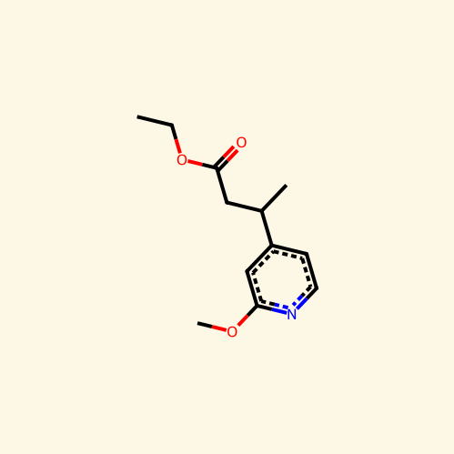 CCOC(=O)CC(C)c1ccnc(OC)c1